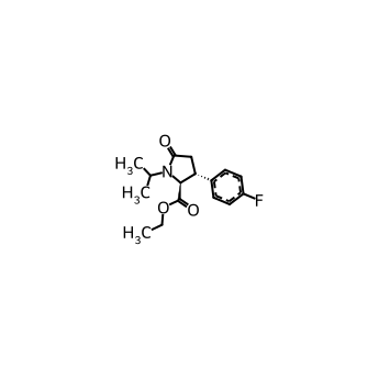 CCOC(=O)[C@@H]1[C@@H](c2ccc(F)cc2)CC(=O)N1C(C)C